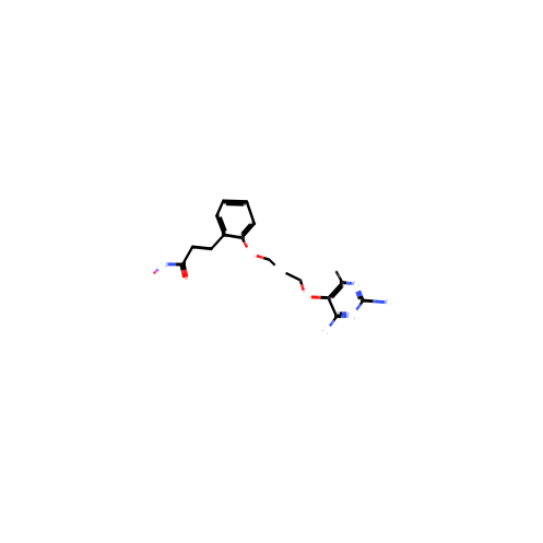 CCc1nc(N)nc(N)c1OCCCOc1ccccc1CCC(=O)NO.Cl